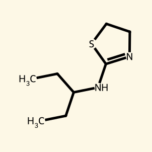 CCC(CC)NC1=NCCS1